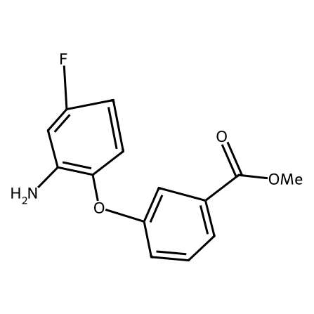 COC(=O)c1cccc(Oc2ccc(F)cc2N)c1